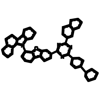 c1ccc(-c2ccc(-c3nc(-c4ccc5ccccc5c4)nc(-c4ccc5c(c4)oc4c(-n6c7ccccc7c7ccc8ccccc8c76)cccc45)n3)cc2)cc1